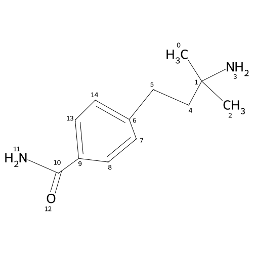 CC(C)(N)CCc1ccc(C(N)=O)cc1